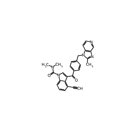 C#Cc1cccc2c1c(C(=O)c1ccc(Cn3c(C)nc4cnccc43)cc1)cn2C(=O)N(C)C